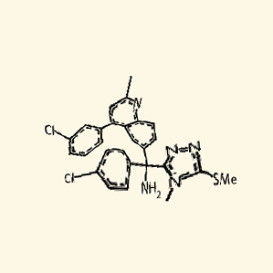 CSc1nnc(C(N)(c2ccc(Cl)cc2)c2ccc3nc(C)cc(-c4cccc(Cl)c4)c3c2)n1C